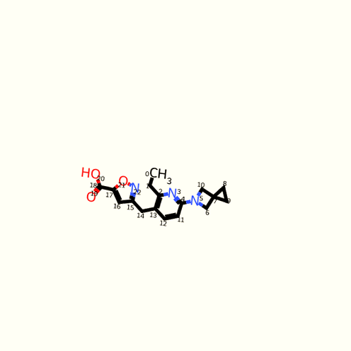 CCc1nc(N2CC3(CC3)C2)ccc1Cc1cc(C(=O)O)on1